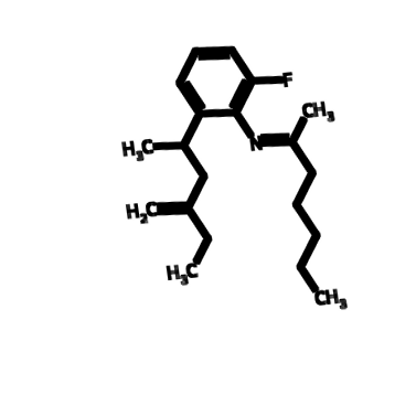 C=C(CC)CC(C)c1cccc(F)c1/N=C(\C)CCCCC